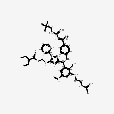 CCC(CC)C(=O)OCOc1nc([C@H](Nc2ccc(C(N)=NC(=O)OCC(C)(C)C)cc2)c2cc(OC)cc(OCCOC(C)=O)c2F)nn1-c1ncccn1